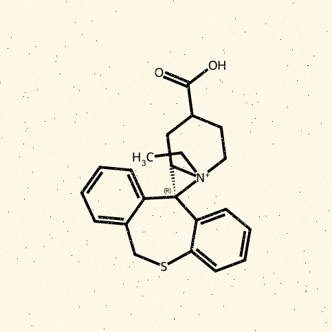 CC[N+]12CCC(C(=O)O)CC1[C@]21c2ccccc2CSc2ccccc21